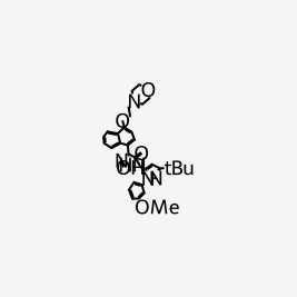 COc1cccc(-n2nc(C(C)(C)C)cc2NC(=O)C(=NO)c2ccc(OCCN3CCOCC3)c3ccccc23)c1